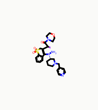 NN(C1=C(C(I)C(=O)N2CCOCC2)CS(=O)(=O)c2ccccc21)[C@H]1CCCN(Cc2ccncc2)C1